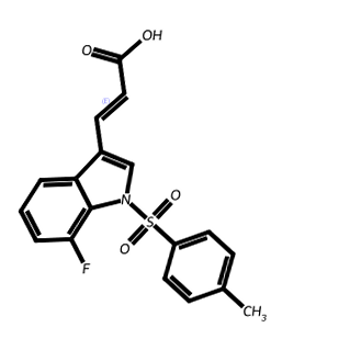 Cc1ccc(S(=O)(=O)n2cc(/C=C/C(=O)O)c3cccc(F)c32)cc1